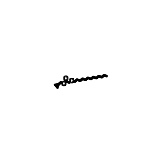 CCCCCCCCCCCCCOCC(=O)OCC1CC1